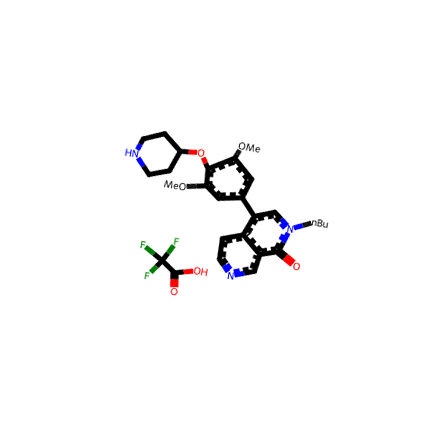 CCCCn1cc(-c2cc(OC)c(OC3CCNCC3)c(OC)c2)c2ccncc2c1=O.O=C(O)C(F)(F)F